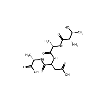 C[C@H](NC(=O)[C@H](CC(=O)O)NC(=O)[C@H](C)NC(=O)[C@@H](N)[C@@H](C)O)C(=O)O